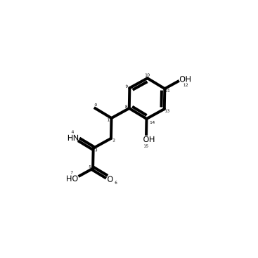 CC(CC(=N)C(=O)O)c1ccc(O)cc1O